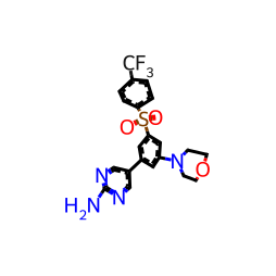 Nc1ncc(-c2cc(N3CCOCC3)cc(S(=O)(=O)c3ccc(C(F)(F)F)cc3)c2)cn1